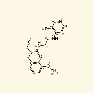 CCN(Cc1cccc(OC)c1)C(=O)NCCNc1ccncc1F